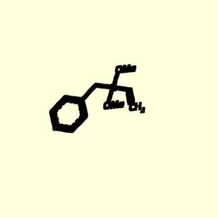 C=C[Si](Cc1ccccc1)(OC)OC